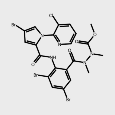 COC(=O)N(C)N(C)C(=O)c1cc(Br)cc(Br)c1NC(=O)c1cc(Br)cn1-c1ncccc1Cl